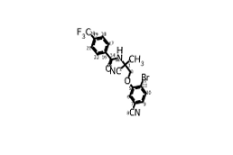 CC(C#N)(COc1cc(C#N)ccc1Br)NC(=O)c1ccc(C(F)(F)F)cc1